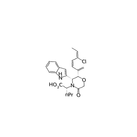 C=C(/C=C\C(Cl)=C/C)[C@@H]1OCC(=O)N([C@H](CCC)C(=O)O)[C@@H]1c1cc2ccccc2[nH]1